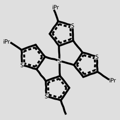 Cc1cc2c(s1)-c1sc(C(C)C)cc1S21c2cc(C(C)C)sc2-c2sc(C(C)C)cc21